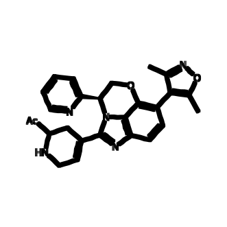 CC(=O)C1CC(c2nc3ccc(-c4c(C)noc4C)c4c3n2[C@@H](c2ccccn2)CO4)=CCN1